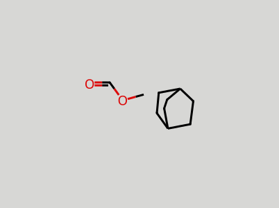 C1CC2CCC1CC2.COC=O